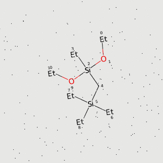 CCO[Si](CC)(C[Si](CC)(CC)CC)OCC